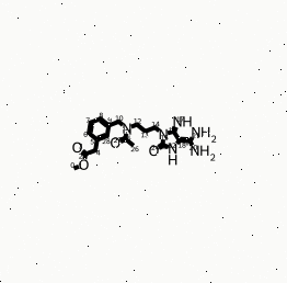 COC(=O)Cc1cccc(CN(CCCN2C(=N)C(=C(N)N)NC2=O)C(C)=O)c1